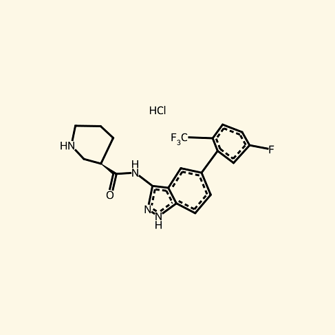 Cl.O=C(Nc1n[nH]c2ccc(-c3cc(F)ccc3C(F)(F)F)cc12)[C@@H]1CCCNC1